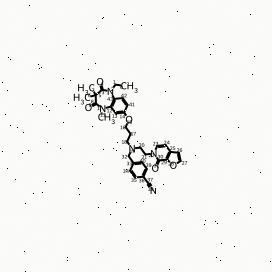 CCN1C(=O)C(C)(C)C(=O)N(C)c2cc(OCCCN(CCn3ccc4ccoc4c3=O)Cc3ccc(C#N)cc3)ccc21